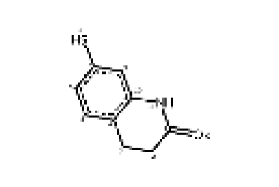 O=C1CCc2ccc(S)cc2N1